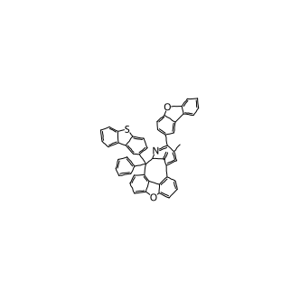 C=C1C2=C=C(C)C(c3ccc4oc5ccccc5c4c3)=NC1C(c1ccccc1)(c1ccc3sc4ccccc4c3c1)c1cccc3oc4cccc2c4c13